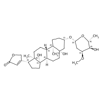 CO[C@H]1C[C@H](O[C@H]2CC[C@]3(C)[C@H]4CC[C@]5(C)[C@@H](C6=CC(=O)OC6)CC[C@]5(O)[C@@H]4CC[C@]3(O)C2)O[C@H](C)[C@H]1O